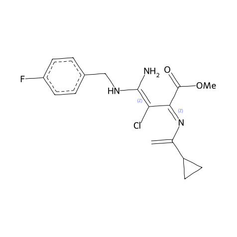 C=C(/N=C(C(=O)OC)\C(Cl)=C(/N)NCc1ccc(F)cc1)C1CC1